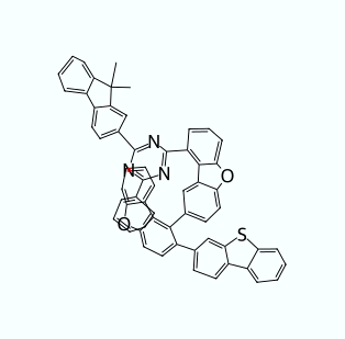 CC1(C)c2ccccc2-c2ccc(-c3nc(-c4ccccc4)nc(-c4cccc5oc6ccc(-c7c(-c8ccc9c(c8)sc8ccccc89)ccc8oc9ccccc9c78)cc6c45)n3)cc21